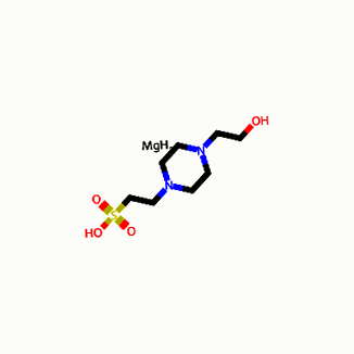 O=S(=O)(O)CCN1CCN(CCO)CC1.[MgH2]